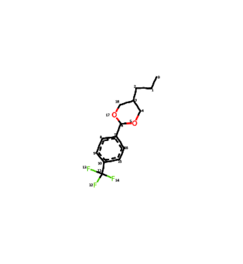 CCCC1COC(c2ccc(C(F)(F)F)cc2)OC1